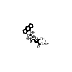 COC(=O)c1cc(S(=N)(=O)NC(=O)Nc2c3c(cc4c2CCC4)CCC3)oc1C